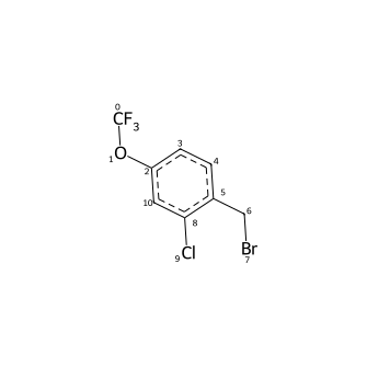 FC(F)(F)Oc1ccc(CBr)c(Cl)c1